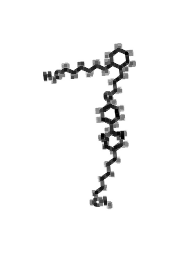 CCCCCCCc1cnc(-c2ccc(OCCCC3CCCCC3CCCCCCC)cc2)nc1